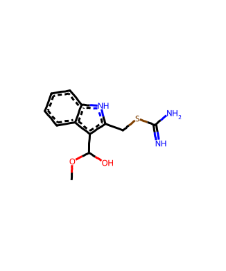 COC(O)c1c(CSC(=N)N)[nH]c2ccccc12